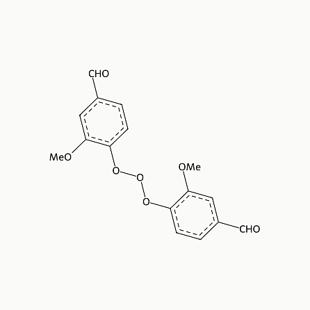 COc1cc(C=O)ccc1OOOc1ccc(C=O)cc1OC